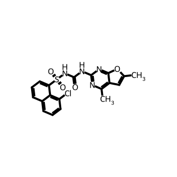 Cc1cc2c(C)nc(NC(=O)NS(=O)(=O)c3cccc4cccc(Cl)c34)nc2o1